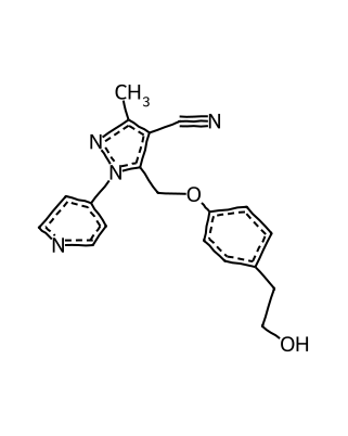 Cc1nn(-c2ccncc2)c(COc2ccc(CCO)cc2)c1C#N